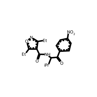 CCc1noc(CC)c1C(=O)NC(C(=O)c1ccc([N+](=O)[O-])cc1)C(C)C